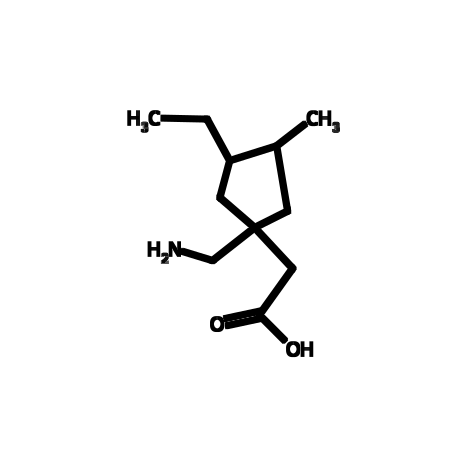 CCC1CC(CN)(CC(=O)O)CC1C